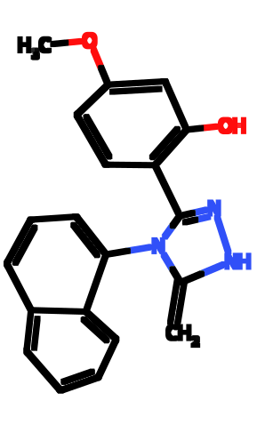 C=C1NN=C(c2ccc(OC)cc2O)N1c1cccc2ccccc12